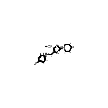 Cl.Fc1ccc(NCc2csc(N3CCCCC3)n2)cc1